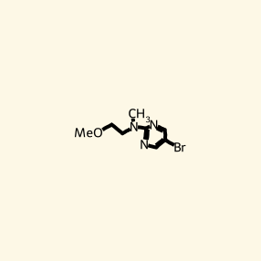 COCCN(C)c1ncc(Br)cn1